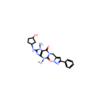 Cn1c(NC2CCC(O)C2)nc2c1c(=O)n(Cc1cc(-c3ccccc3)n[nH]1)c(=O)n2C